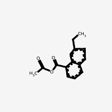 CCc1ccc2cccc(C(=O)OC(C)=O)c2c1